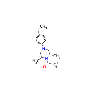 CCc1ccc(N2CC(C)N(C(=O)C3CC3)C(C)C2)cc1